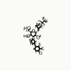 CO[C@@H]1[C@@H](n2cc(-c3ccc(Cl)c(F)c3F)nn2)[C@@H](O)[C@@H](CO)O[C@@H]1Cc1cn(C(C)(C)C(F)F)nn1